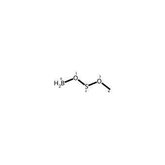 BOSOC